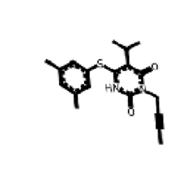 CC#CCn1c(=O)[nH]c(Sc2cc(C)cc(C)c2)c(C(C)C)c1=O